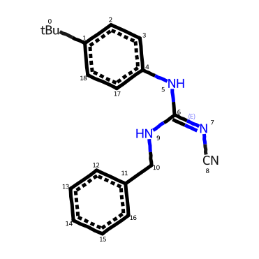 CC(C)(C)c1ccc(N/C(=N/C#N)NCc2ccccc2)cc1